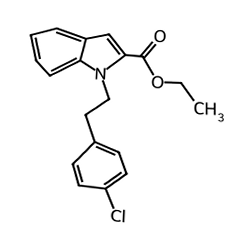 CCOC(=O)c1cc2ccccc2n1CCc1ccc(Cl)cc1